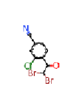 N#Cc1ccc(C(=O)C(Br)Br)c(Cl)c1